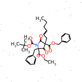 CCC/C=C/CC1(C(=O)OCc2ccccc2)C(=O)N(C(=O)OC(C)(C)C)C(Cc2ccccc2)(C(=O)OCC)C1=O